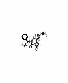 C[C@@H](NC(=O)N1C(=O)CC1/C(N)=C/NN)c1ccccc1